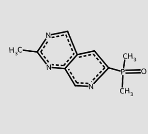 Cc1ncc2cc(P(C)(C)=O)ncc2n1